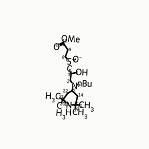 CCCCN(CC(O)C[S+]([O-])CCC(=O)OC)C1CC(C)(C)NC(C)(C)C1